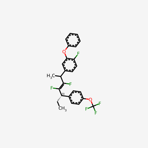 CC[C@H](C(F)=C(F)C(C)c1ccc(F)c(Oc2ccccc2)c1)c1ccc(OC(F)(F)F)cc1